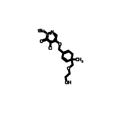 CC1(COCCO)C=CC(COc2cnn(C(C)(C)C)c(=O)c2Cl)=CC1